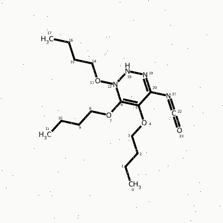 CCCCOC1=C(OCCCC)N(OCCCC)NN=C1N=C=O